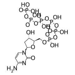 Nc1ccn([C@H]2C[C@H](O)[C@@H](COP(=O)(O)OP(=O)(O)OP(=O)(O)OP(=O)(O)OP(=O)(O)OP(=O)(O)O)O2)c(=O)n1